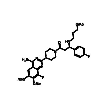 COCCCNC(CC(=O)N1CCN(c2nc(N)c3cc(OC)c(OC)c(F)c3n2)CC1)c1ccc(F)cc1